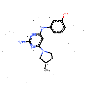 CN[C@@H]1CCN(c2cc(Nc3cccc(O)c3)nc(N)n2)C1